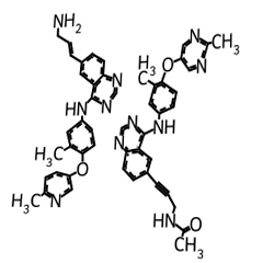 CC(=O)NCC#Cc1ccc2ncnc(Nc3ccc(Oc4cnc(C)nc4)c(C)c3)c2c1.Cc1ccc(Oc2ccc(Nc3ncnc4ccc(C=CCN)cc34)cc2C)cn1